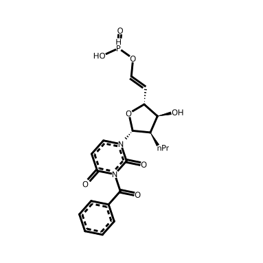 CCC[C@@H]1[C@H](O)[C@@H](/C=C/O[PH](=O)O)O[C@H]1n1ccc(=O)n(C(=O)c2ccccc2)c1=O